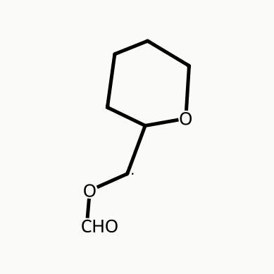 O=CO[CH]C1CCCCO1